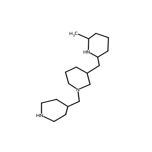 CC1CCCC(CC2CCCN(CC3CCNCC3)C2)N1